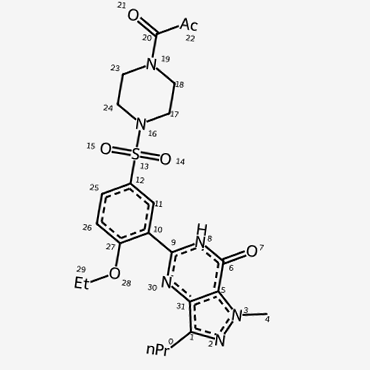 CCCc1nn(C)c2c(=O)[nH]c(-c3cc(S(=O)(=O)N4CCN(C(=O)C(C)=O)CC4)ccc3OCC)nc12